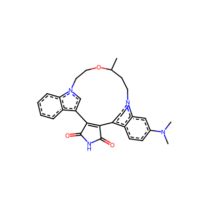 CC1CCn2cc(c3ccc(N(C)C)cc32)C2=C(C(=O)NC2=O)c2cn(c3ccccc23)CCO1